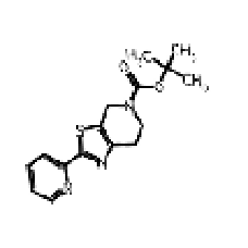 CC(C)(C)OC(=O)N1CCc2nc(-c3ccccn3)sc2C1